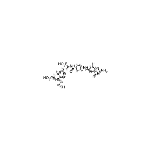 Nc1nc2[nH]cc(CNc3ccc(C(=O)N[C@@H](CCC(=O)N[C@@H](CCC(=O)O)C(=O)NCCS)C(=O)O)cc3)nc-2c(=O)n1